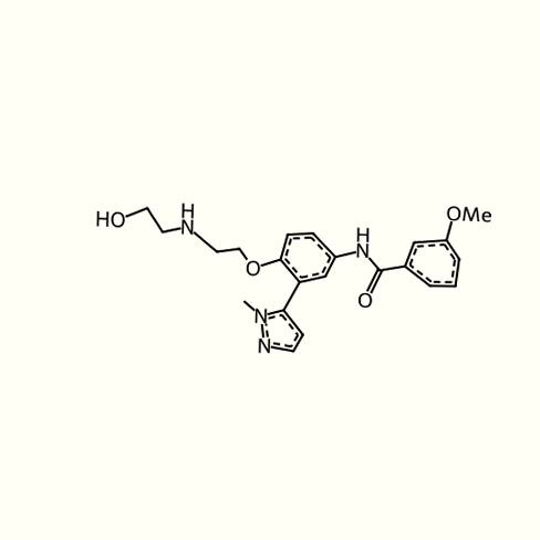 COc1cccc(C(=O)Nc2ccc(OCCNCCO)c(-c3ccnn3C)c2)c1